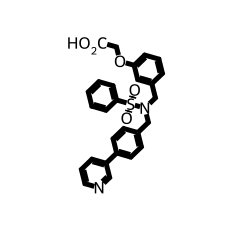 O=C(O)COc1cccc(CN(Cc2ccc(-c3cccnc3)cc2)S(=O)(=O)c2ccccc2)c1